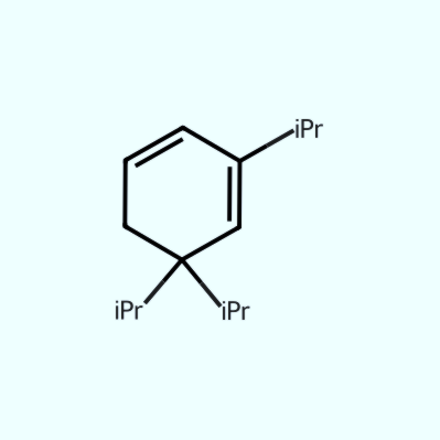 CC(C)C1=CC(C(C)C)(C(C)C)CC=C1